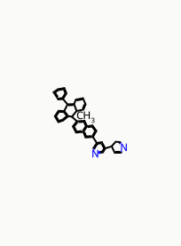 CC12C=CC=CC1=C(c1ccccc1)c1ccccc1C2c1ccc2cc(-c3cncc(C4C=CN=CC4)c3)ccc2c1